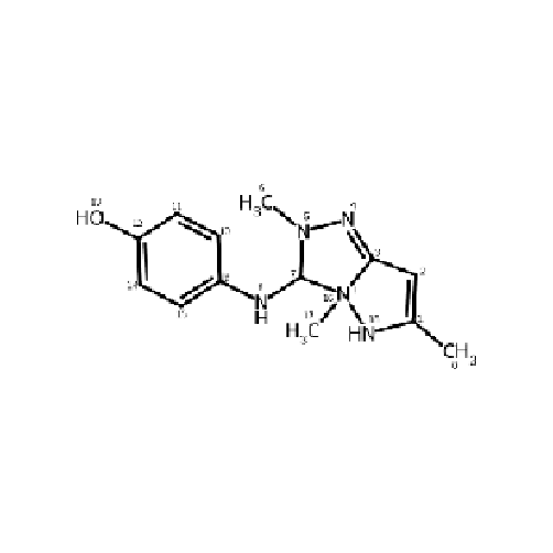 CC1=CC2=NN(C)C(Nc3ccc(O)cc3)[N+]2(C)N1